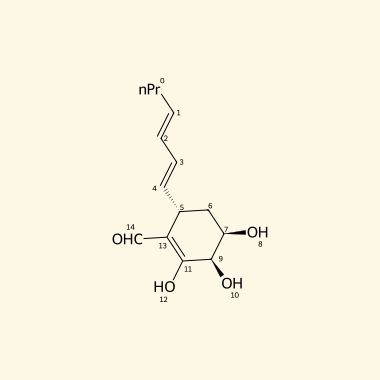 CCC/C=C/C=C/[C@@H]1C[C@@H](O)[C@@H](O)C(O)=C1C=O